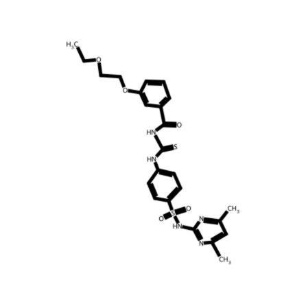 CCOCCOc1cccc(C(=O)NC(=S)Nc2ccc(S(=O)(=O)Nc3nc(C)cc(C)n3)cc2)c1